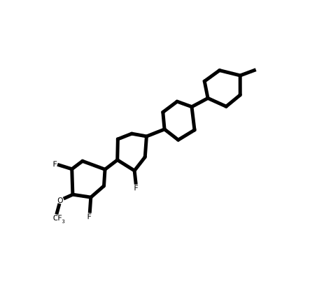 CC1CCC(C2CCC(C3CCC(C4CC(F)C(OC(F)(F)F)C(F)C4)C(F)C3)CC2)CC1